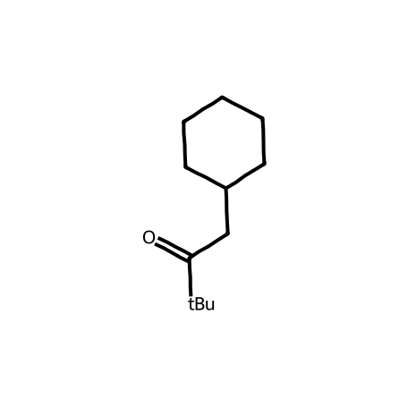 CC(C)(C)C(=O)CC1CCCCC1